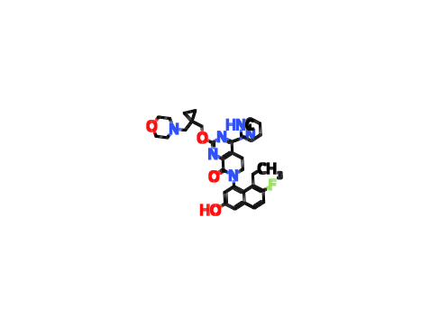 CCc1c(F)ccc2cc(O)cc(N3CCc4c(nc(OCC5(CN6CCOCC6)CC5)nc4N4CC5CCC4CN5)C3=O)c12